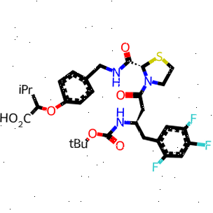 CC(C)C(Oc1ccc(CNC(=O)[C@@H]2SCCN2C(=O)C[C@@H](Cc2cc(F)c(F)cc2F)NC(=O)OC(C)(C)C)cc1)C(=O)O